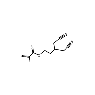 C=C(C)C(=O)OCCC(CC#N)CC#N